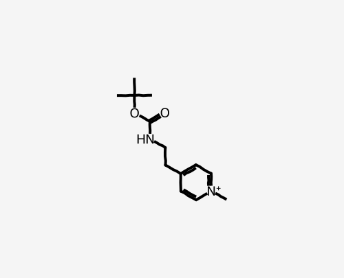 C[n+]1ccc(CCNC(=O)OC(C)(C)C)cc1